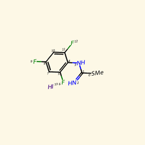 CSC(=N)Nc1c(F)cc(F)cc1F.I